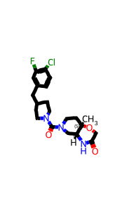 C[C@]12CCN(C(=O)N3CCC(Cc4ccc(Cl)c(F)c4)CC3)C[C@H]1NC(=O)CO2